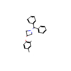 Cc1ccc(OC2CN(C(c3ccccc3)c3ccccc3)C2)c(C(F)(F)F)c1